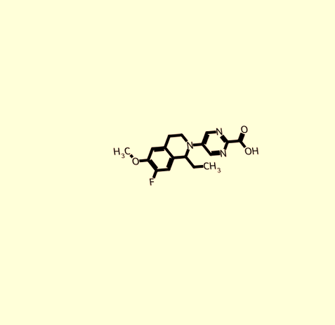 CCC1c2cc(F)c(OC)cc2CCN1c1cnc(C(=O)O)nc1